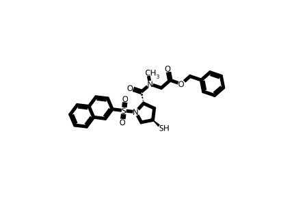 CN(CC(=O)OCc1ccccc1)C(=O)[C@@H]1C[C@@H](S)CN1S(=O)(=O)c1ccc2ccccc2c1